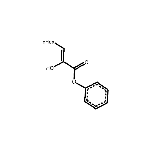 CCCCCCC=C(O)C(=O)Oc1ccccc1